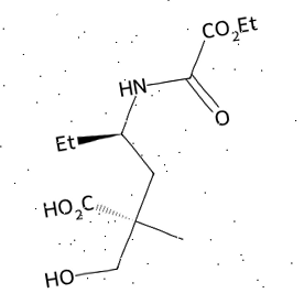 CCOC(=O)C(=O)N[C@H](CC)C[C@@](C)(CO)C(=O)O